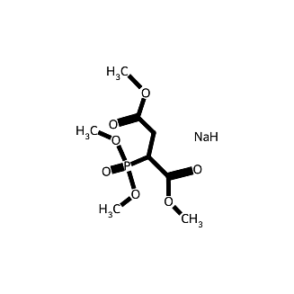 COC(=O)CC(C(=O)OC)P(=O)(OC)OC.[NaH]